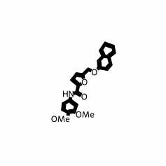 COc1ccc(NC(=O)c2ccc(COc3ccc4ccccc4c3)o2)cc1OC